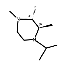 CC(C)N1CCN(C)[C@H](C)[C@H]1C